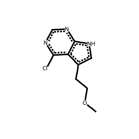 COCCc1c[nH]c2ncnc(Cl)c12